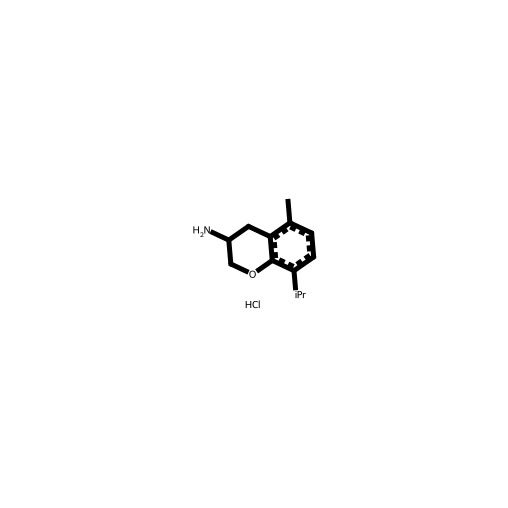 Cc1ccc(C(C)C)c2c1CC(N)CO2.Cl